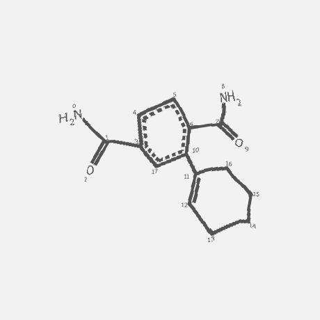 NC(=O)c1ccc(C(N)=O)c(C2=CCCCC2)c1